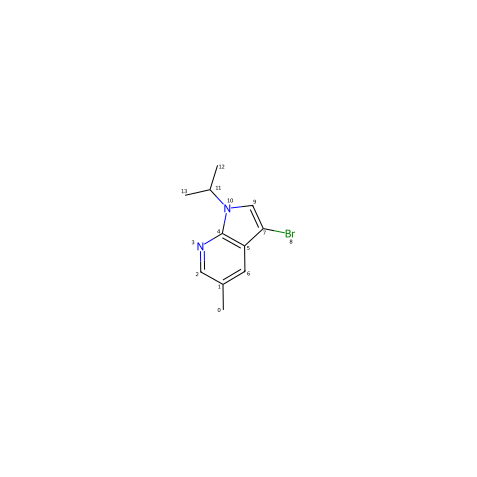 Cc1cnc2c(c1)c(Br)cn2C(C)C